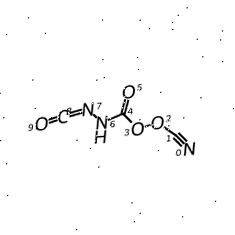 N#COOC(=O)NN=C=O